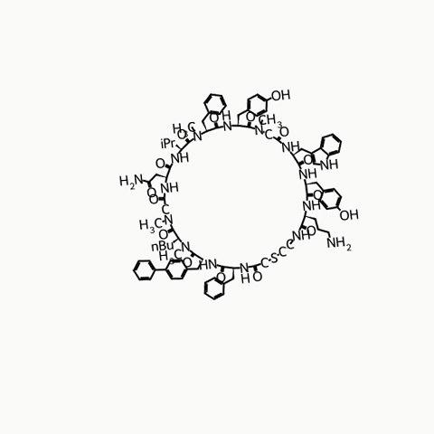 CCCC[C@H]1C(=O)N(C)CC(=O)N[C@@H](CC(N)=O)C(=O)N[C@@H](C(C)C)C(=O)N(C)[C@@H](Cc2ccccc2)C(=O)N[C@@H](Cc2ccc(O)cc2)C(=O)N(C)CC(=O)N[C@@H](Cc2c[nH]c3ccccc23)C(=O)N[C@@H](Cc2ccc(O)cc2)C(=O)N[C@@H](CCCN)C(=O)NCCSCC(=O)N[C@@H](Cc2ccccc2)C(=O)N[C@@H](Cc2ccc(-c3ccccc3)cc2)C(=O)N1C